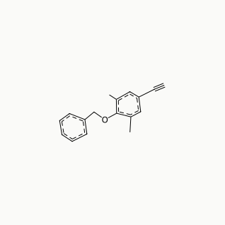 C#Cc1cc(C)c(OCc2ccccc2)c(C)c1